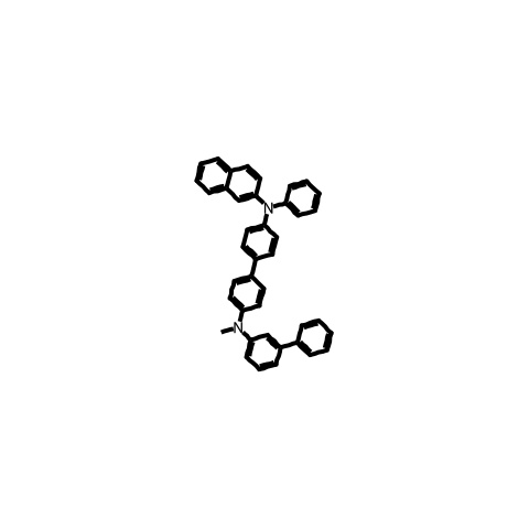 CN(c1ccc(-c2ccc(N(c3ccccc3)c3ccc4ccccc4c3)cc2)cc1)c1cccc(-c2ccccc2)c1